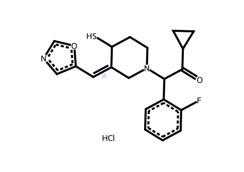 Cl.O=C(C1CC1)C(c1ccccc1F)N1CCC(S)/C(=C\c2cnco2)C1